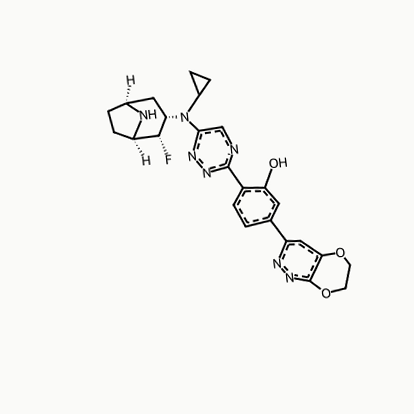 Oc1cc(-c2cc3c(nn2)OCCO3)ccc1-c1ncc(N(C2CC2)[C@H]2C[C@@H]3CC[C@@H](N3)[C@H]2F)nn1